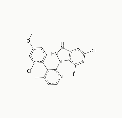 COc1ccc(-c2c(C)ccnc2N2NNc3cc(Cl)cc(F)c32)c(Cl)c1